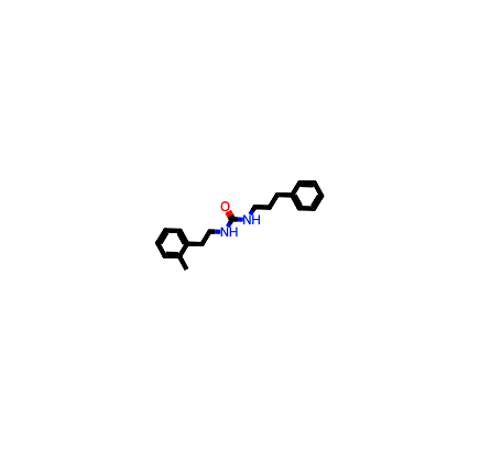 Cc1ccccc1CCNC(=O)NCCCc1ccccc1